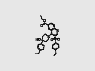 CCOC(=O)c1ccc2ncc(S(=O)(=O)c3ccc(CC)cc3)c(N3CCC(O)(c4ccc(CC)cc4)CC3)c2c1